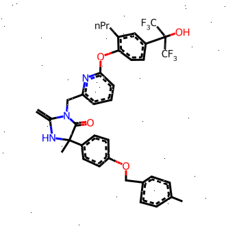 C=C1NC(C)(c2ccc(OCc3ccc(C)cc3)cc2)C(=O)N1Cc1cccc(Oc2ccc(C(O)(C(F)(F)F)C(F)(F)F)cc2CCC)n1